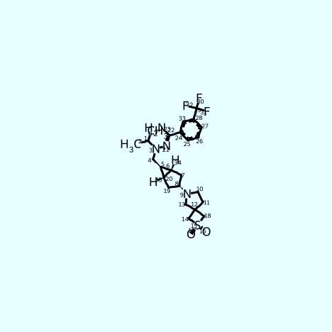 CC(C)N(C[C@H]1[C@@H]2C[C@H](N3CCC4(C3)CS(=O)(=O)C4)C[C@@H]21)/N=C(\N)c1cccc(C(F)(F)F)c1